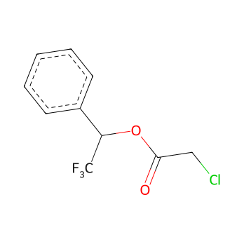 O=C(CCl)OC(c1ccccc1)C(F)(F)F